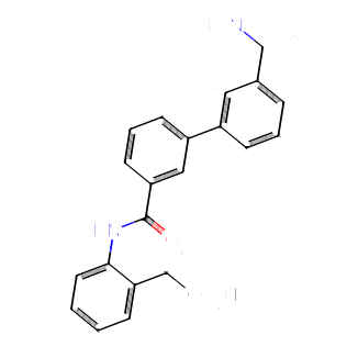 C[C@@H](N)c1cccc(-c2cccc(C(=O)Nc3ccccc3CC(=O)O)c2)c1